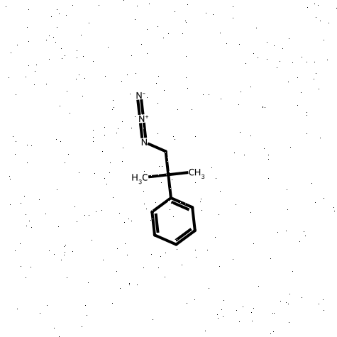 CC(C)(CN=[N+]=[N-])c1ccccc1